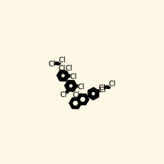 C1CCC2CCCCC2C1.ClC(Cl)Cl.ClCCl.Clc1cccc(Cl)c1Cl.Clc1ccccc1.Clc1ccccc1Cl